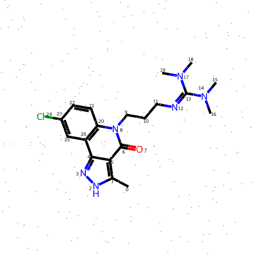 Cc1[nH]nc2c1c(=O)n(CCCN=C(N(C)C)N(C)C)c1ccc(Cl)cc21